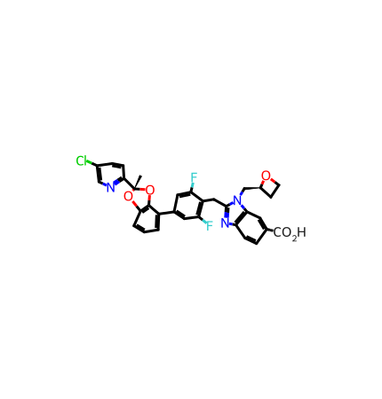 C[C@]1(c2ccc(Cl)cn2)Oc2cccc(-c3cc(F)c(Cc4nc5ccc(C(=O)O)cc5n4C[C@@H]4CCO4)c(F)c3)c2O1